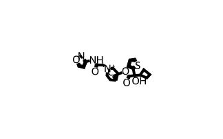 O=C(C[N+]12CCC(CC1)C(OC(=O)[C@@](O)(c1cccs1)C1CCC1)C2)Nc1ccon1